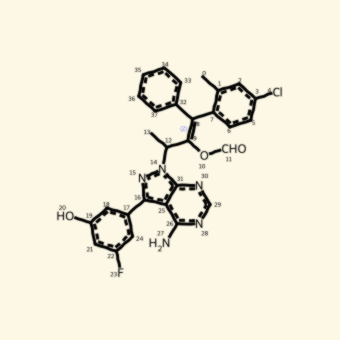 Cc1cc(Cl)ccc1/C(=C(\OC=O)C(C)n1nc(-c2cc(O)cc(F)c2)c2c(N)ncnc21)c1ccccc1